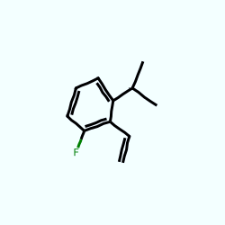 C=Cc1c(F)cccc1[C](C)C